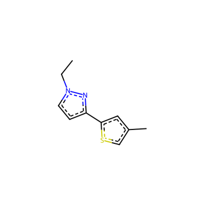 CCn1ccc(-c2cc(C)cs2)n1